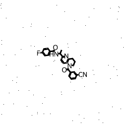 CC(NC(=O)c1ccc(F)cc1)c1ccc2c(n1)CCCN2C(=O)c1cccc(C#N)c1